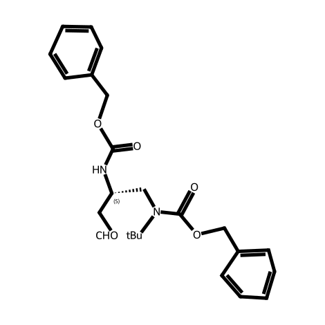 CC(C)(C)N(C[C@H](CC=O)NC(=O)OCc1ccccc1)C(=O)OCc1ccccc1